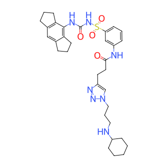 O=C(CCc1cn(CCCNC2CCCCC2)nn1)Nc1cccc(S(=O)(=O)NC(=O)Nc2c3c(cc4c2CCC4)CCC3)c1